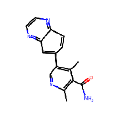 Cc1ncc(-c2ccc3nccnc3c2)c(C)c1C(N)=O